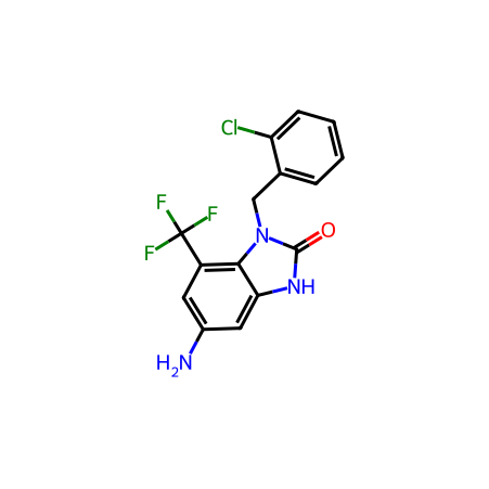 Nc1cc(C(F)(F)F)c2c(c1)[nH]c(=O)n2Cc1ccccc1Cl